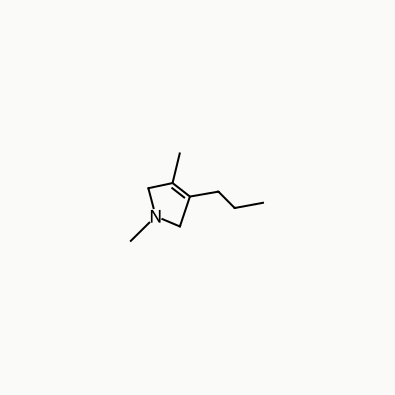 CCCC1=C(C)CN(C)C1